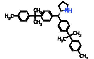 Cc1ccc(C(C)(C)c2ccc(C(c3ccc(C(C)(C)c4ccc(C)cc4)cc3)[C@@H]3CCCN3)cc2)cc1